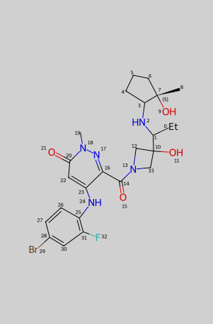 CCC(NC1CCC[C@]1(C)O)C1(O)CN(C(=O)c2nn(C)c(=O)cc2Nc2ccc(Br)cc2F)C1